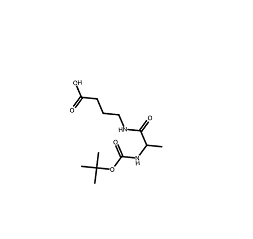 CC(NC(=O)OC(C)(C)C)C(=O)NCCCC(=O)O